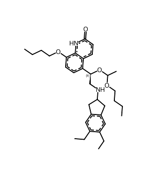 CCCCOc1ccc([C@H](CNC2Cc3cc(CC)c(CC)cc3C2)OC(C)OCCCC)c2ccc(=O)[nH]c12